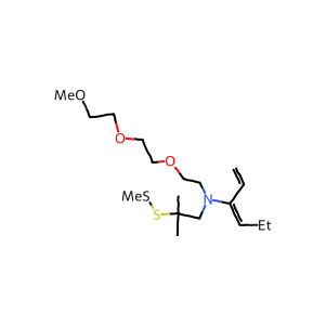 C=C/C(=C\CC)N(CCOCCOCCOC)CC(C)(C)SSC